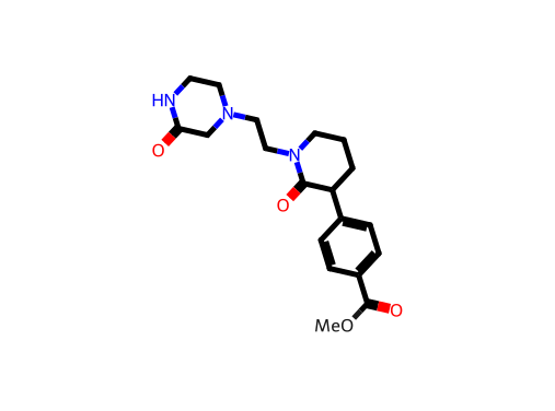 COC(=O)c1ccc(C2CCCN(CCN3CCNC(=O)C3)C2=O)cc1